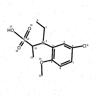 CCN(c1cc(Cl)ccc1OC)C(C)S(=O)(=O)O